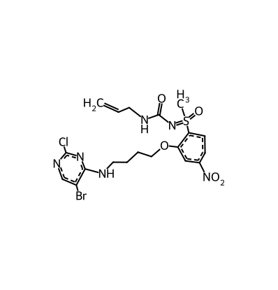 C=CCNC(=O)N=S(C)(=O)c1ccc([N+](=O)[O-])cc1OCCCCNc1nc(Cl)ncc1Br